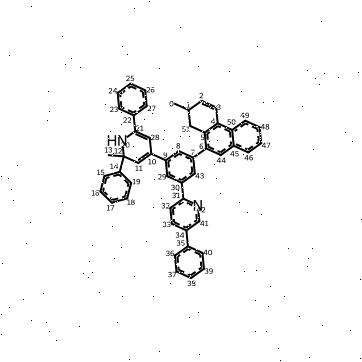 CC1C=Cc2c(c(-c3cc(C4=CC(C)(c5ccccc5)NC(c5ccccc5)=C4)cc(-c4ccc(-c5ccccc5)cn4)c3)cc3ccccc23)C1